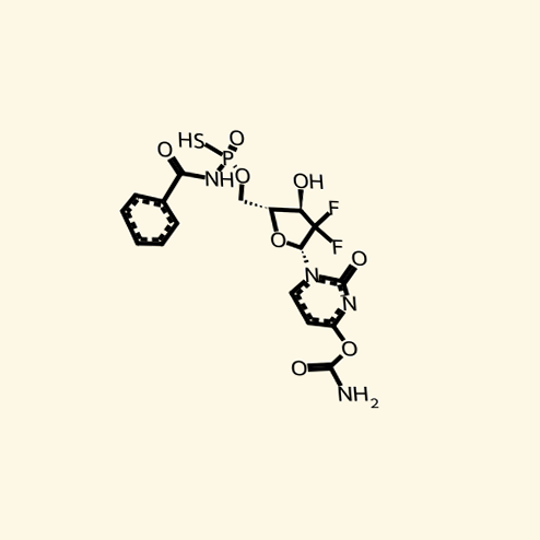 NC(=O)Oc1ccn([C@@H]2O[C@H](COP(=O)(S)NC(=O)c3ccccc3)[C@@H](O)C2(F)F)c(=O)n1